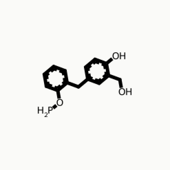 OCc1cc(Cc2ccccc2OP)ccc1O